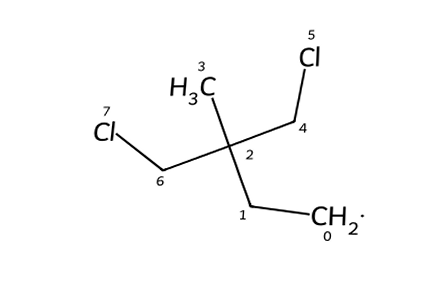 [CH2]CC(C)(CCl)CCl